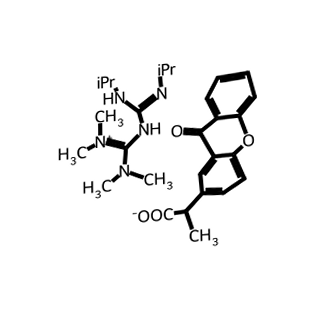 CC(C(=O)[O-])c1ccc2oc3ccccc3c(=O)c2c1.CC(C)N=C(NC(N(C)C)=[N+](C)C)NC(C)C